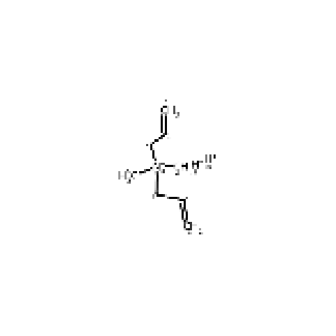 C=CC[N+](C)(C)CC=C.[H+].[H+]